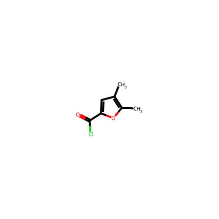 Cc1cc(C(=O)Cl)oc1C